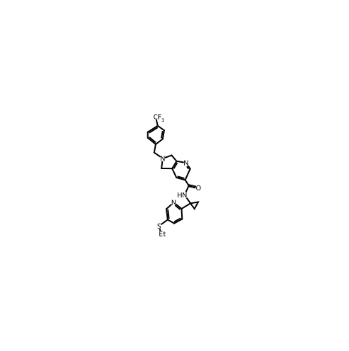 CCSc1ccc(C2(NC(=O)c3cnc4c(c3)CN(Cc3ccc(C(F)(F)F)cc3)C4)CC2)nc1